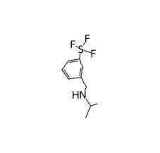 CC(C)NCc1cccc(S(F)(F)F)c1